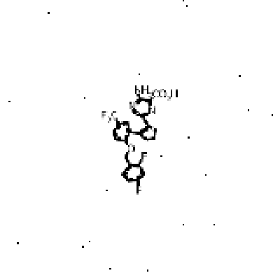 Nc1ncc(C2=C(c3cc(C(F)(F)F)ccc3OCc3ccc(F)cc3F)CCC2)nc1C(=O)O